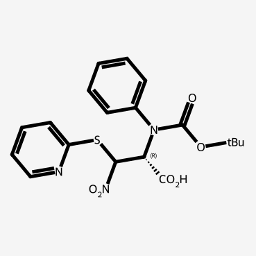 CC(C)(C)OC(=O)N(c1ccccc1)[C@H](C(=O)O)C(Sc1ccccn1)[N+](=O)[O-]